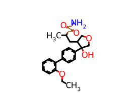 CCOc1ccccc1-c1ccc(C2(O)COCC2CC(C)S(N)(=O)=O)cc1